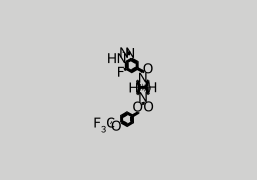 O=C(OCc1ccc(OC(F)(F)F)cc1)N1C[C@@H]2CN(C(=O)c3cc(F)c4[nH]nnc4c3)C[C@H]2C1